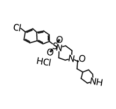 Cl.O=C(CC1CCNCC1)N1CCN(S(=O)(=O)c2ccc3cc(Cl)ccc3c2)CC1